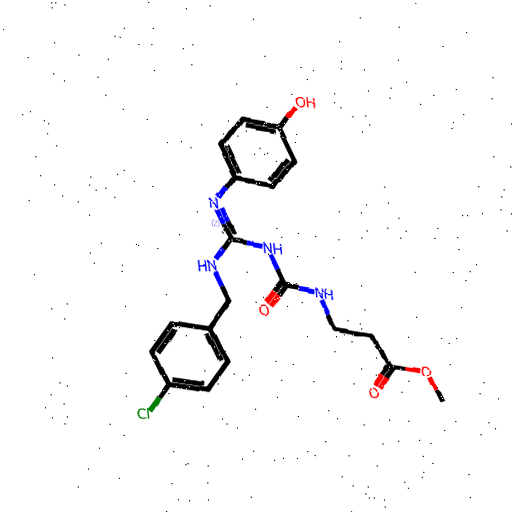 COC(=O)CCNC(=O)N/C(=N\c1ccc(O)cc1)NCc1ccc(Cl)cc1